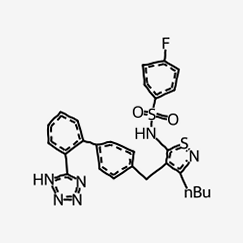 CCCCc1nsc(NS(=O)(=O)c2ccc(F)cc2)c1Cc1ccc(-c2ccccc2-c2nnn[nH]2)cc1